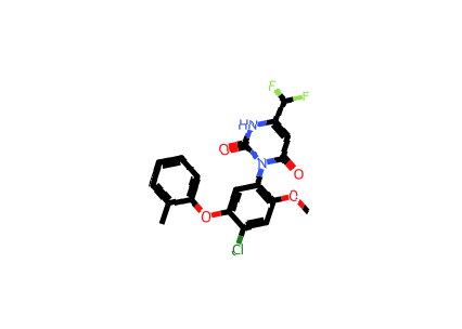 COc1cc(Cl)c(Oc2ccccc2C)cc1-n1c(=O)cc(C(F)F)[nH]c1=O